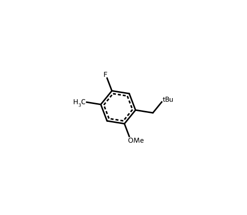 COc1cc(C)c(F)cc1CC(C)(C)C